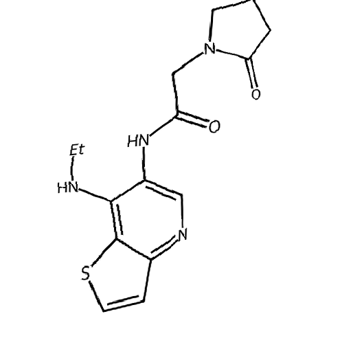 CCNc1c(NC(=O)CN2CCCC2=O)cnc2ccsc12